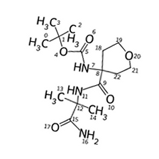 CC(C)(C)OC(=O)NC1(C(=O)NC(C)(C)C(N)=O)CCOCC1